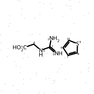 N=C(N)NCC(=O)O.c1ccsc1